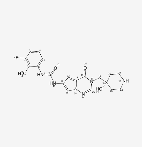 Cc1c(F)cccc1NC(=O)Nc1cc2c(=O)n(CC3(O)CCNCC3)cnn2c1